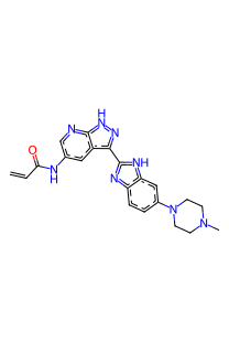 C=CC(=O)Nc1cnc2[nH]nc(-c3nc4ccc(N5CCN(C)CC5)cc4[nH]3)c2c1